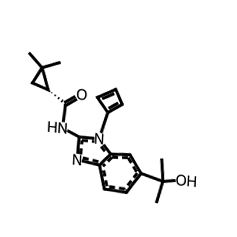 CC(C)(O)c1ccc2nc(NC(=O)[C@@H]3CC3(C)C)n(C3=CC=C3)c2c1